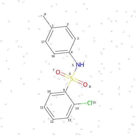 [CH2]c1ccc(NS(=O)(=O)c2ccccc2Cl)cc1